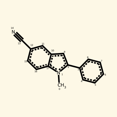 Cn1c(-c2ccccc2)cc2cc(C#N)ccc21